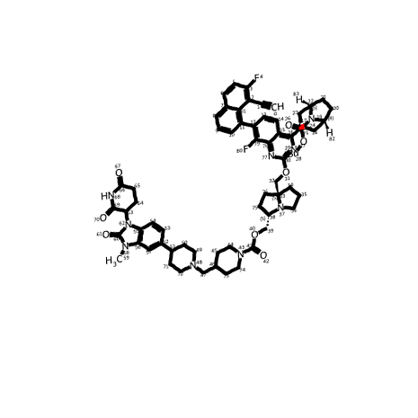 C#Cc1c(F)ccc2cccc(-c3ccc4c(N5C[C@H]6CC[C@@H](C5)N6C(=O)OC(C)(C)C)nc(OC[C@@]56CCCN5[C@H](COC(=O)N5CCC(CN7CCC(c8ccc9c(c8)n(C)c(=O)n9C8CCC(=O)NC8=O)CC7)CC5)CC6)nc4c3F)c12